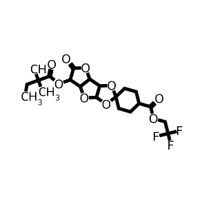 CCC(C)(C)C(=O)OC1C(=O)OC2C3OC4(CCC(C(=O)OCC(F)(F)F)CC4)OC3OC12